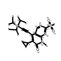 CC(C)[Si](C#Cc1c(C2CC2)c(=O)n(C)c2nc(S(C)(=O)=O)ncc12)(C(C)C)C(C)C